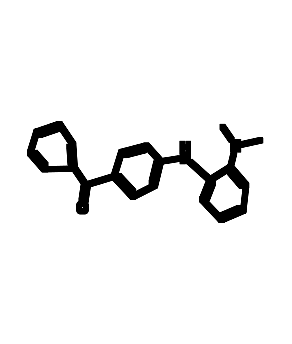 CN(C)c1ccccc1Nc1ccc(C(=O)c2ccccc2)cc1